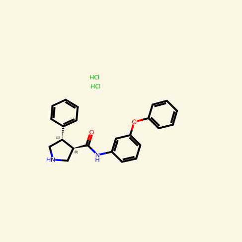 Cl.Cl.O=C(Nc1cccc(Oc2ccccc2)c1)[C@H]1CNC[C@@H]1c1ccccc1